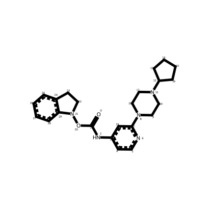 O=C(Nc1ccnc(N2CCN(C3CCCC3)CC2)c1)ON1CCc2ccccc21